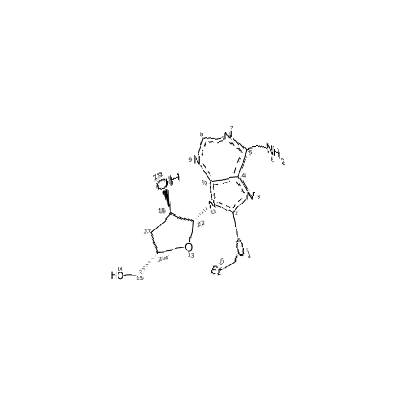 CCOc1nc2c(N)ncnc2n1[C@@H]1O[C@H](CO)C[C@H]1O